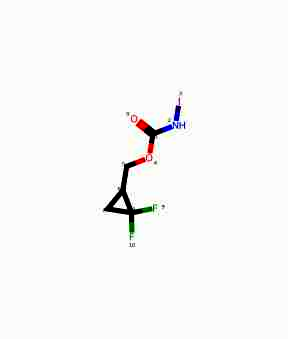 O=C(NI)OCC1CC1(F)F